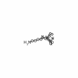 CN1C[C@H](OCCOCCOCCOCCN)C[C@H]1COc1nc2c(c(N3CCN(C(=O)OC(C)(C)C)[C@@H](CC#N)C3)n1)CCN(c1cccc3ccccc13)C2